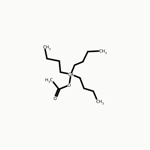 CCC[CH2][Ge]([CH2]CCC)([CH2]CCC)[O]C(C)=O